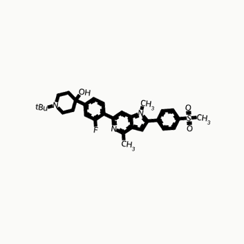 Cc1nc(-c2ccc(C3(O)CCN(C(C)(C)C)CC3)cc2F)cc2c1cc(-c1ccc(S(C)(=O)=O)cc1)n2C